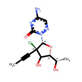 CC#C[C@@]1(Cl)C(O)[C@@H]([C@H](C)O)O[C@H]1n1ncc(N)nc1=O